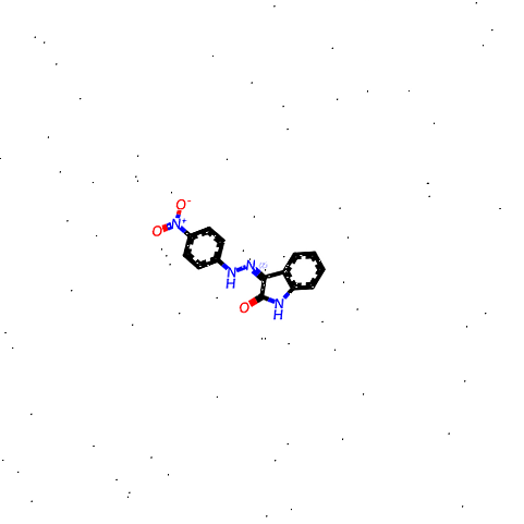 O=C1Nc2ccccc2/C1=N/Nc1ccc([N+](=O)[O-])cc1